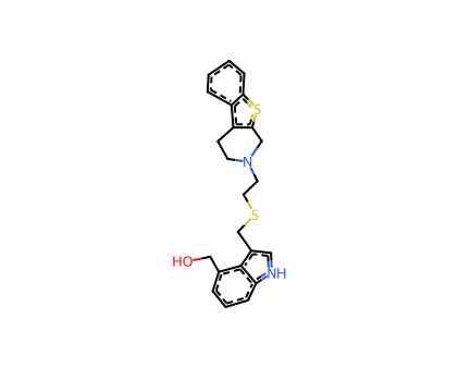 OCc1cccc2[nH]cc(CSCCN3CCc4c(sc5ccccc45)C3)c12